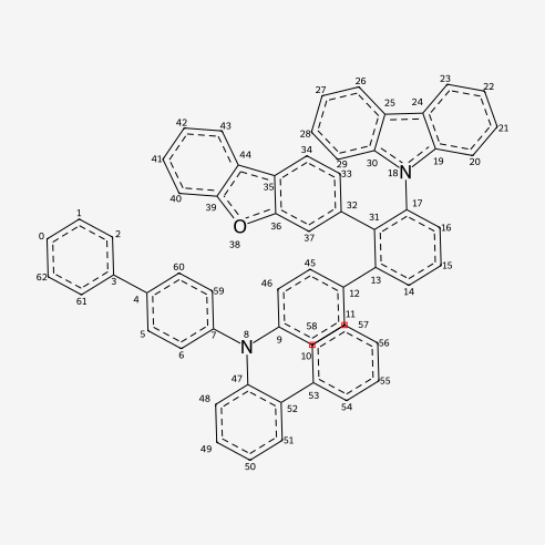 c1ccc(-c2ccc(N(c3ccc(-c4cccc(-n5c6ccccc6c6ccccc65)c4-c4ccc5c(c4)oc4ccccc45)cc3)c3ccccc3-c3ccccc3)cc2)cc1